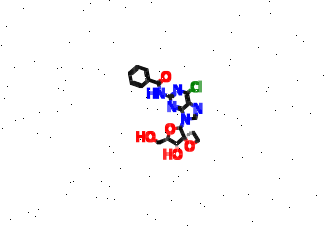 O=C(Nc1nc(Cl)c2ncn([C@@H]3O[C@H](CO)[C@@H](O)[C@@]34CCO4)c2n1)c1ccccc1